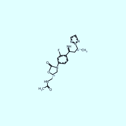 CC(=O)NC[C@H]1CN(c2ccc(C(=N)C[C@@H](C)n3nccn3)c(F)c2)C(=O)O1